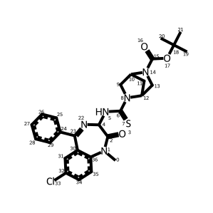 CN1C(=O)C(NC(=S)N2CC3CC2CN3C(=O)OC(C)(C)C)N=C(c2ccccc2)c2cc(Cl)ccc21